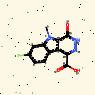 Cn1c2cc(F)ccc2c2c(C(=O)O)n[nH]c(=O)c21